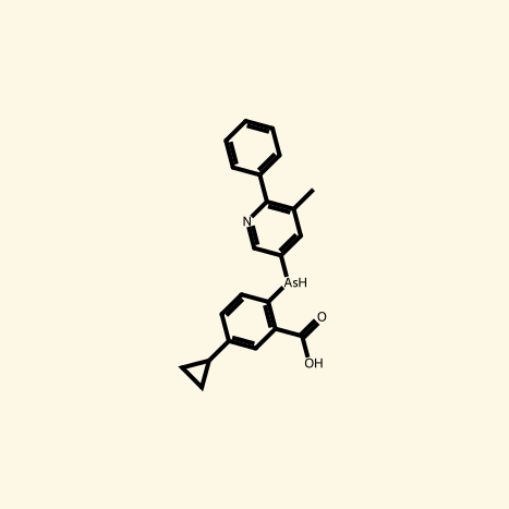 Cc1cc([AsH]c2ccc(C3CC3)cc2C(=O)O)cnc1-c1ccccc1